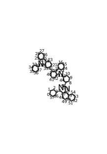 c1ccc(-c2nc(-c3cccc(-n4c5ccccc5c5c(-c6ccc7c8ccccc8n(-c8ccccc8)c7c6)cccc54)c3)nc3c2ccc2ccccc23)cc1